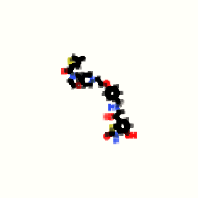 Cc1csc(C(=O)N2CCOC3(CCN(CCOc4ccc(CNCC(O)c5ccc(O)c6[nH]c(=O)sc56)cc4)CC3)C2)c1